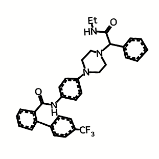 CCNC(=O)C(c1ccccc1)N1CCN(c2ccc(NC(=O)c3ccccc3-c3ccc(C(F)(F)F)cc3)cc2)CC1